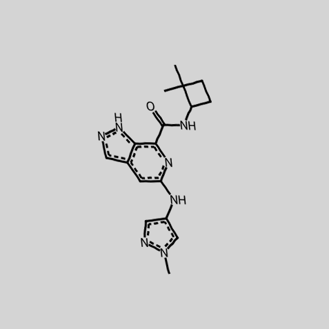 Cn1cc(Nc2cc3cn[nH]c3c(C(=O)NC3CCC3(C)C)n2)cn1